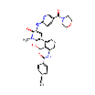 C#Cc1ccc(C(=O)Nc2cccc(-c3cc(Nc4ccc(C(=O)N5CCOCC5)cn4)c(=O)n(C)c3)c2CO)cc1